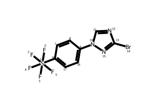 FS(F)(F)(F)(F)c1ccc(-n2cnc(Br)n2)cc1